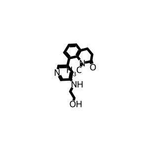 CN1C(=O)CCc2cccc(-c3cncc(NCCO)c3)c21